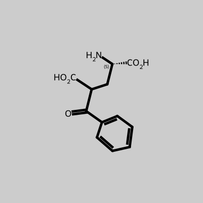 N[C@@H](CC(C(=O)O)C(=O)c1ccccc1)C(=O)O